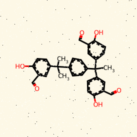 CC(C)(c1ccc(C(C)(c2ccc(O)c(C=O)c2)c2ccc(O)c(C=O)c2)cc1)c1ccc(O)c(C=O)c1